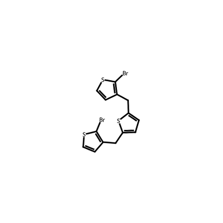 Brc1sccc1Cc1ccc(Cc2ccsc2Br)s1